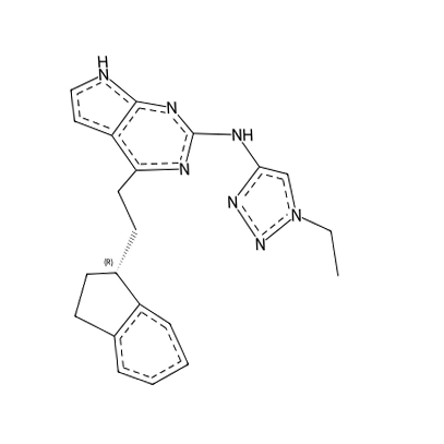 CCn1cc(Nc2nc(CC[C@H]3CCc4ccccc43)c3cc[nH]c3n2)nn1